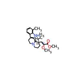 CC[C@@]1(/C=C(\OC)C(=O)OC)CCCN2CCc3c([nH]c4c(C)cccc34)[C@@H]21